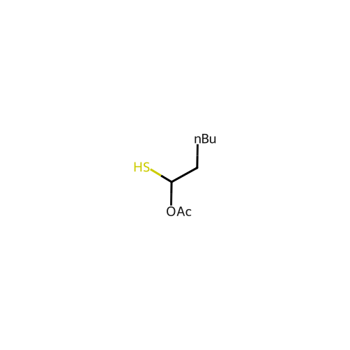 CCCCCC(S)OC(C)=O